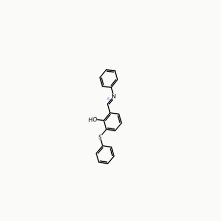 Oc1c(/C=N/c2ccccc2)cccc1Sc1ccccc1